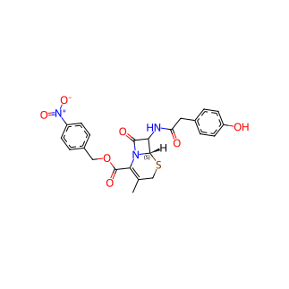 CC1=C(C(=O)OCc2ccc([N+](=O)[O-])cc2)N2C(=O)C(NC(=O)Cc3ccc(O)cc3)[C@@H]2SC1